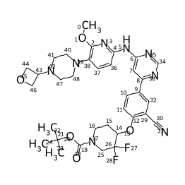 COc1nc(Nc2cc(-c3ccc(OC4CCN(C(=O)OC(C)(C)C)CC4(F)F)c(C#N)c3)ncn2)ccc1N1CCN(C2COC2)CC1